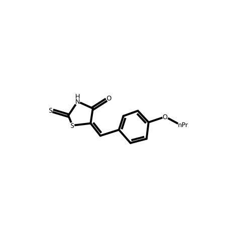 CCCOc1ccc(C=C2SC(=S)NC2=O)cc1